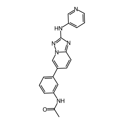 CC(=O)Nc1cccc(-c2ccc3nc(Nc4cccnc4)nn3c2)c1